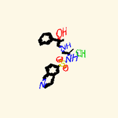 C[C@H](CNCC(C)(O)c1ccccc1)NS(=O)(=O)c1ccc2cnccc2c1.Cl